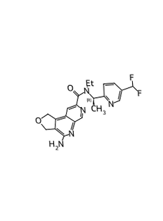 CCN(C(=O)c1cc2c3c(c(N)nc2cn1)COC3)[C@H](C)c1ccc(C(F)F)cn1